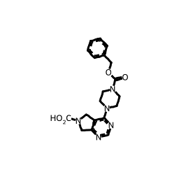 O=C(O)N1Cc2ncnc(N3CCN(C(=O)OCc4ccccc4)CC3)c2C1